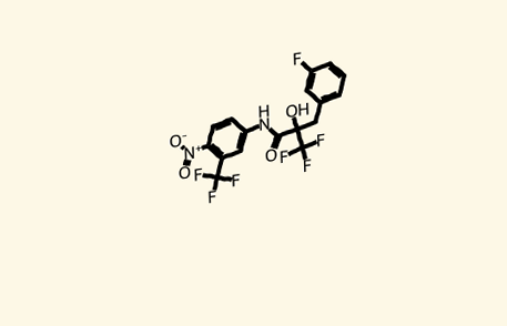 O=C(Nc1ccc([N+](=O)[O-])c(C(F)(F)F)c1)C(O)(Cc1cccc(F)c1)C(F)(F)F